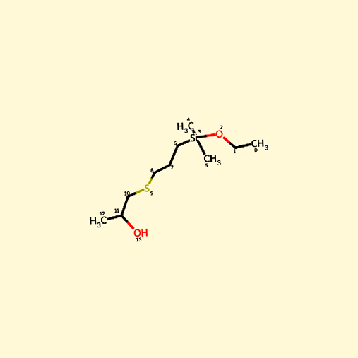 CCO[Si](C)(C)CCCSCC(C)O